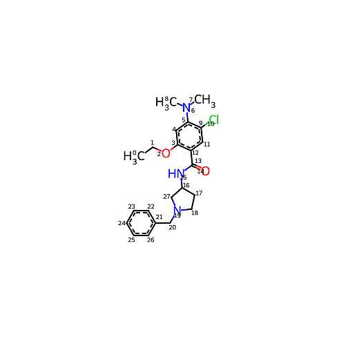 CCOc1cc(N(C)C)c(Cl)cc1C(=O)NC1CCN(Cc2ccccc2)C1